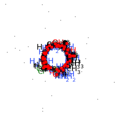 CCCC[C@H]1C(=O)N(C)[C@@H](CCCC)C(=O)N[C@@H](CCCNC(=N)N)C(=O)N[C@H](C(=O)NCC(N)=O)CSCC(=O)N[C@@H](Cc2ccc(Cl)c(Cl)c2)C(=O)N(C)[C@@H](C)C(=O)N[C@@H](CC(N)=O)C(=O)N2CCC[C@H]2C(=O)N[C@@H](CN)C(=O)N[C@@H](CC(C)C)C(=O)N2C[C@H](O)C[C@H]2C(=O)N[C@@H](Cc2c[nH]c3ccccc23)C(=O)N[C@@H](CO)C(=O)N[C@@H](Cc2c[nH]c3ccccc23)C(=O)N1C